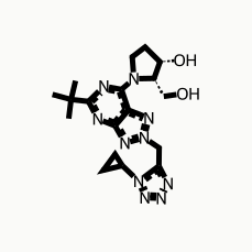 CC(C)(C)c1nc(N2CC[C@H](O)[C@@H]2CO)c2nn(Cc3nnnn3C3CC3)nc2n1